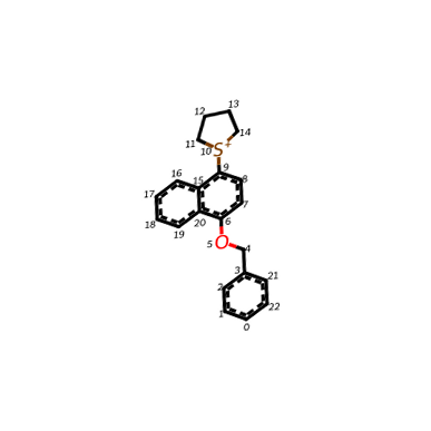 c1ccc(COc2ccc([S+]3CCCC3)c3ccccc23)cc1